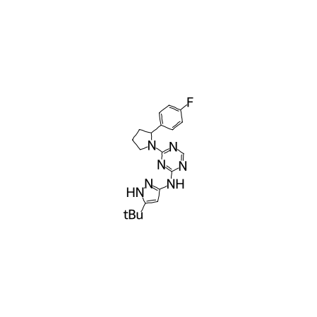 CC(C)(C)c1cc(Nc2ncnc(N3CCCC3c3ccc(F)cc3)n2)n[nH]1